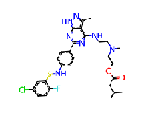 Cc1n[nH]c2nc(-c3ccc(NSc4cc(Cl)ccc4F)cc3)nc(NCCN(C)CCOC(=O)CC(C)C)c12